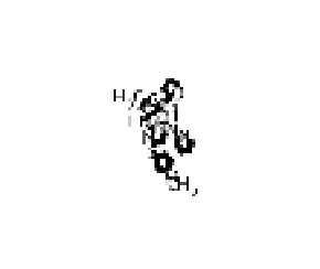 COc1ccc(Sc2cc(Nc3ccccn3)nc(N[C@@H](CC(C)C)C(=O)NCC3CCCO3)n2)cc1